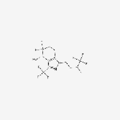 CC(CCn1nc(C(F)(F)F)c2c1CCC(F)(F)[C@H]2O)C(F)(F)F